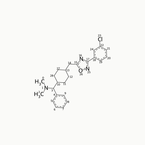 CN(C)C(c1ccccc1)C1CCC(Cc2nc(-c3cccc(Cl)c3)no2)CC1